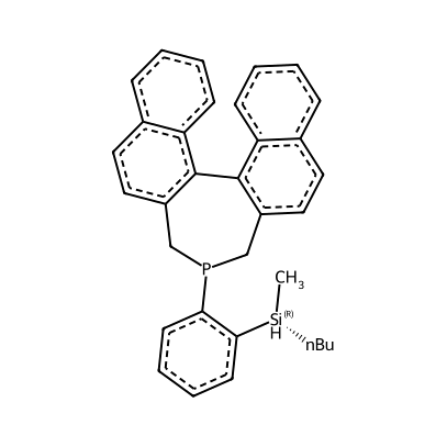 CCCC[Si@@H](C)c1ccccc1P1Cc2ccc3ccccc3c2-c2c(ccc3ccccc23)C1